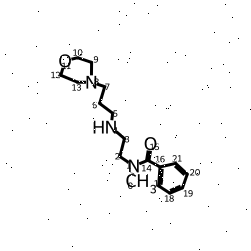 CN(CCNCCCN1CCOCC1)C(=O)c1ccccc1